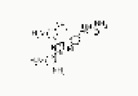 NC(=O)N/N=C/c1ccc(Nc2nc(N3C[C@H](N)C[C@H](N)C3)nc(N3C[C@H](N)C[C@H](N)C3)n2)cc1